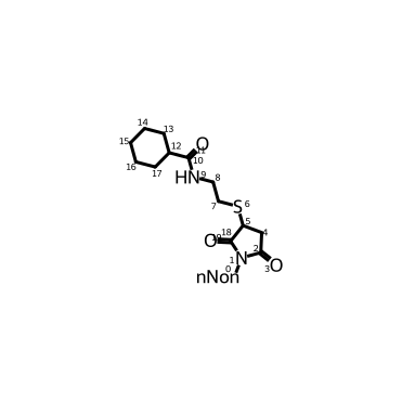 CCCCCCCCCN1C(=O)CC(SCCNC(=O)C2CCCCC2)C1=O